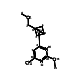 COCC12C[C](C1)N(c1cc(Cl)nc(OC)n1)C2